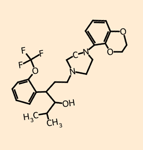 CC(C)C(O)C(CCN1CCN(c2cccc3c2OCCO3)CC1)c1ccccc1OC(F)(F)F